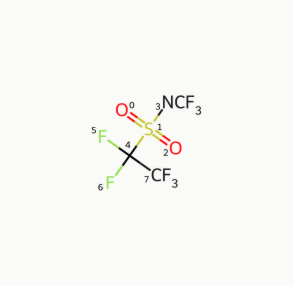 O=S(=O)(NC(F)(F)F)C(F)(F)C(F)(F)F